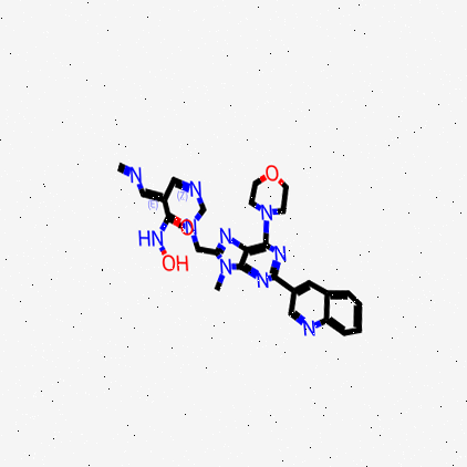 C=N/C=C(\C=N/CN(C)Cc1nc2c(N3CCOCC3)nc(-c3cnc4ccccc4c3)nc2n1C)C(=O)NO